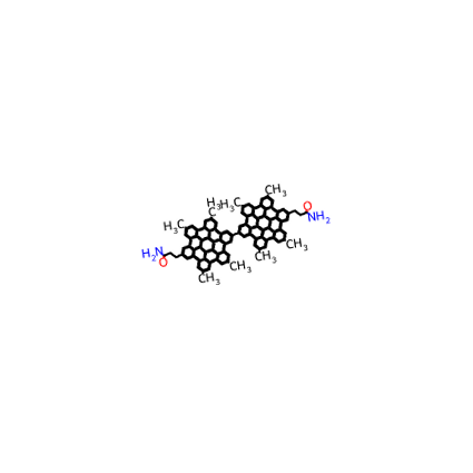 Cc1cc2c3cc(C)cc4c5cc(-c6cc7c8cc(C)cc9c%10cc(C)cc%11c%12cc(CCC(N)=O)cc%13c%14cc(C)cc%15c%16cc(C)cc%17c(c6)c7c6c(c98)c(c%10%11)c(c%12%13)c(c%15%14)c6c%16%17)cc6c7cc(C)cc8c9cc(C)cc%10c%11cc(CCC(N)=O)cc%12c(c1)c2c1c(c34)c(c56)c(c87)c(c9%10)c1c%12%11